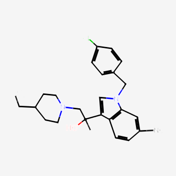 [C-]#[N+]c1ccc2c(C(O)(CN3CCC(CC(=O)O)CC3)C(F)(F)F)cn(Cc3ccc(Cl)cc3)c2c1